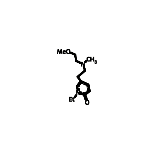 CCn1cc(CCN(C)CCOC)ccc1=O